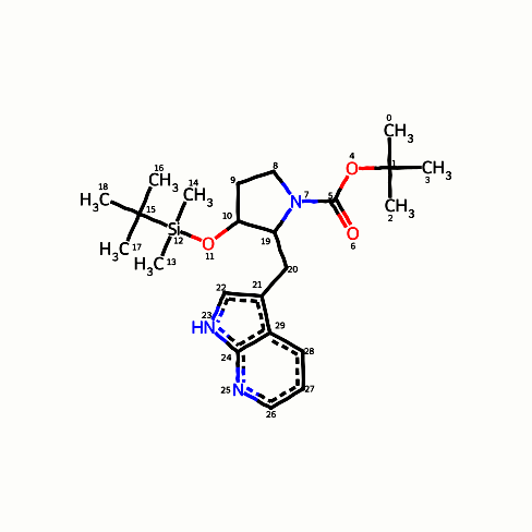 CC(C)(C)OC(=O)N1CCC(O[Si](C)(C)C(C)(C)C)C1Cc1c[nH]c2ncccc12